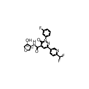 O=C(N[C@H]1COC[C@@H]1O)c1cc(-c2ccc(C(F)F)nc2)nn(-c2cccc(F)c2)c1=O